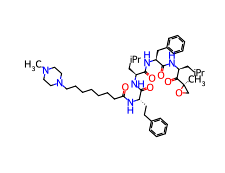 CC(C)C[C@H](NC(=O)[C@H](CCc1ccccc1)NC(=O)CCCCCCCN1CCN(C)CC1)C(=O)N[C@@H](Cc1ccccc1)C(=O)N[C@@H](CC(C)C)C(=O)[C@@]1(C)CO1